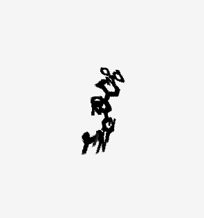 COC(=O)N1CCC(c2cc(-c3cc4c(cn3)cnn4C(C)C)no2)CC1